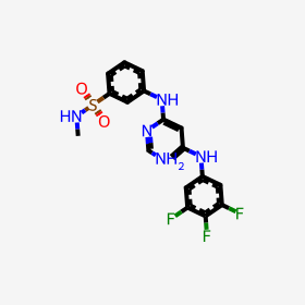 C=C(/C=C(\N=C/N)Nc1cccc(S(=O)(=O)NC)c1)Nc1cc(F)c(F)c(F)c1